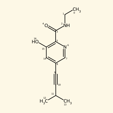 CCNC(=O)c1ncc(C#CC(C)C)cc1O